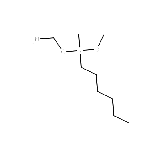 CCCCCC[Si](C)(OC)OCN